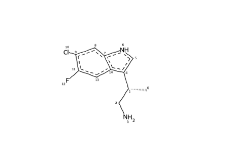 C[C@H](CN)c1c[nH]c2cc(Cl)c(F)cc12